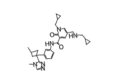 CC1CC(c2cccc(NC(=O)c3cc(CNCC4CC4)cn(CC4CC4)c3=O)c2)(c2nncn2C)C1